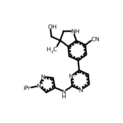 CC(C)n1cc(Nc2nccc(-c3cc(C#N)c4c(c3)C(C)(CO)CN4)n2)cn1